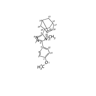 COc1ccc(-c2nnc(C34CC5CC(CC(C5)C3)C4)n2C)cc1